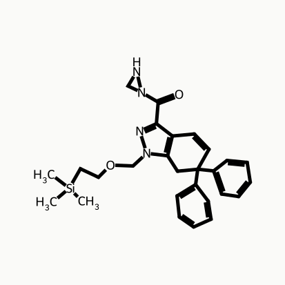 C[Si](C)(C)CCOCn1nc(C(=O)N2CN2)c2c1CC(c1ccccc1)(c1ccccc1)C=C2